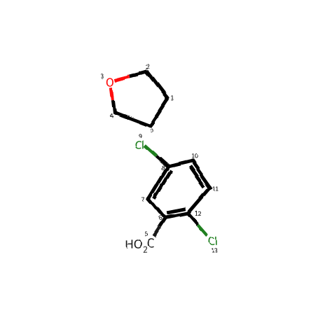 C1CCOC1.O=C(O)c1cc(Cl)ccc1Cl